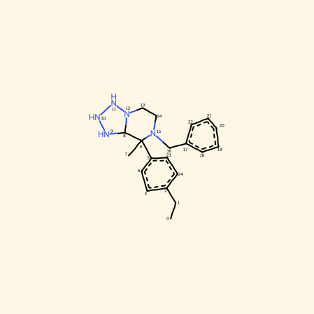 CCc1ccc(C2(C)C3NNNN3CCN2Cc2ccccc2)cc1